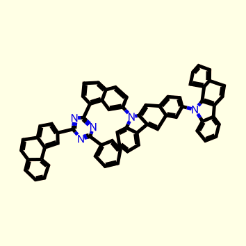 c1ccc(-c2nc(-c3ccc4ccc5ccccc5c4c3)nc(-c3cccc4ccc(-n5c6ccccc6c6cc7cc(-n8c9ccccc9c9ccc%10ccccc%10c98)ccc7cc65)cc34)n2)cc1